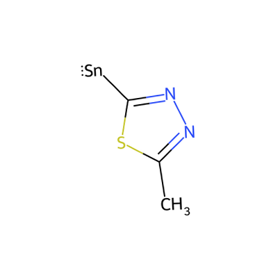 Cc1nn[c]([Sn])s1